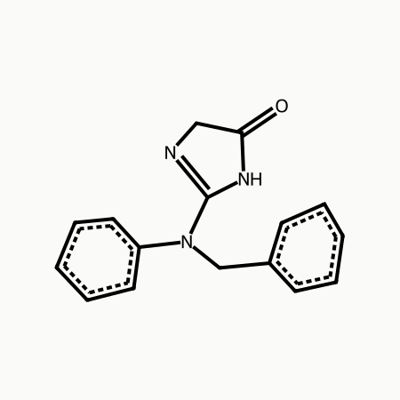 O=C1CN=C(N(Cc2ccccc2)c2ccccc2)N1